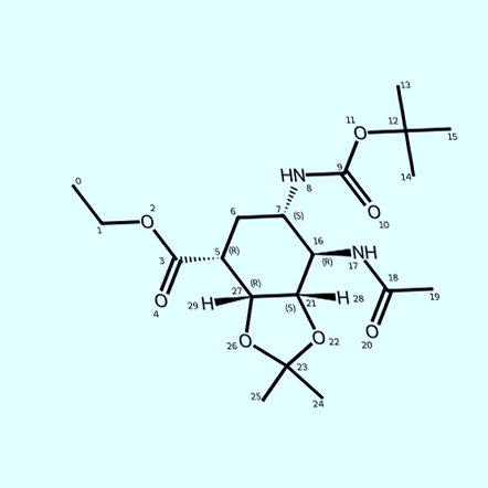 CCOC(=O)[C@@H]1C[C@H](NC(=O)OC(C)(C)C)[C@@H](NC(C)=O)[C@@H]2OC(C)(C)O[C@@H]21